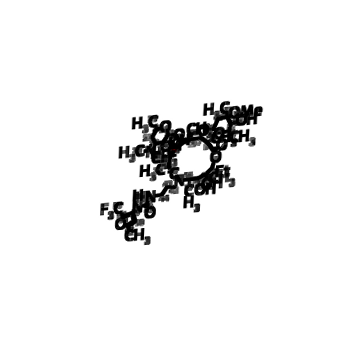 CC[C@H]1OC(=O)[C@H](C)[C@@H](O[C@H]2C[C@@](C)(OC)[C@@H](O)[C@H](C)O2)[C@H](C)[C@@H](O[C@@H]2O[C@H](C)C[C@H](N(C)C)[C@H]2O)[C@](C)(O)C[C@@H](C)CN(CCCNC(=O)Nc2cc(C)oc2C(F)(F)F)[C@H](C)[C@@H](O)[C@]1(C)O